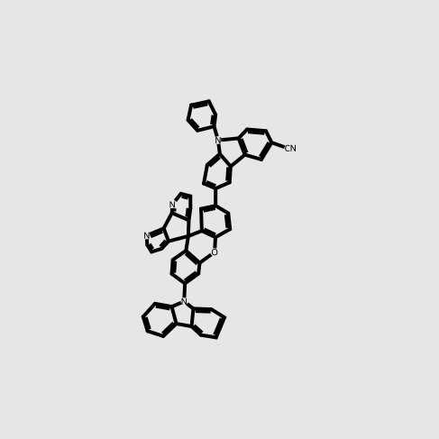 N#Cc1ccc2c(c1)c1cc(-c3ccc4c(c3)C3(c5ccc(-n6c7ccccc7c7ccccc76)cc5O4)c4cccnc4-c4ncccc43)ccc1n2-c1ccccc1